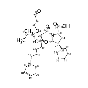 CC(C)C(OCCC=O)OP(=O)(CCCCc1ccccc1)CC(=O)N1C[C@H](C2CCCCC2)C[C@H]1C(=O)O